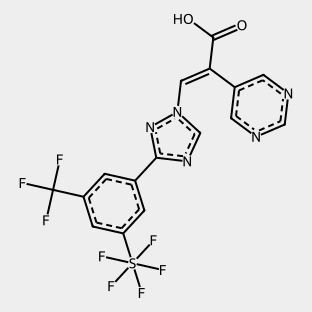 O=C(O)/C(=C/n1cnc(-c2cc(C(F)(F)F)cc(S(F)(F)(F)(F)F)c2)n1)c1cncnc1